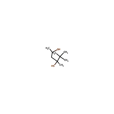 CC(S)CC(C)(S)C(C)(C)C